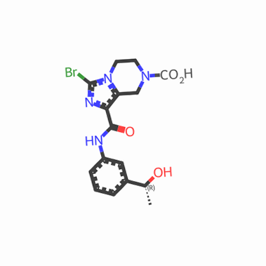 C[C@@H](O)c1cccc(NC(=O)c2nc(Br)n3c2CN(C(=O)O)CC3)c1